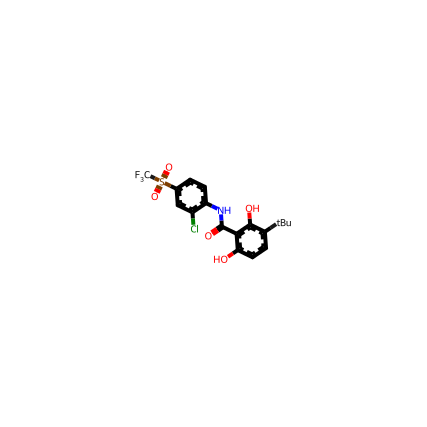 CC(C)(C)c1ccc(O)c(C(=O)Nc2ccc(S(=O)(=O)C(F)(F)F)cc2Cl)c1O